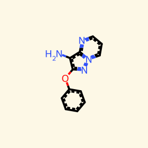 Nc1c(Oc2ccccc2)nn2cccnc12